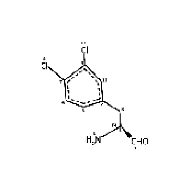 N[C@H]([C]=O)Cc1ccc(Cl)c(Cl)c1